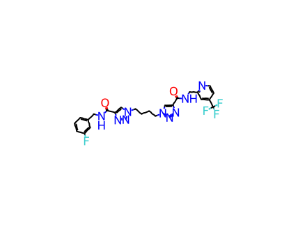 O=C(NCc1cccc(F)c1)c1cn(CCCCn2cc(C(=O)NCc3cc(C(F)(F)F)ccn3)nn2)nn1